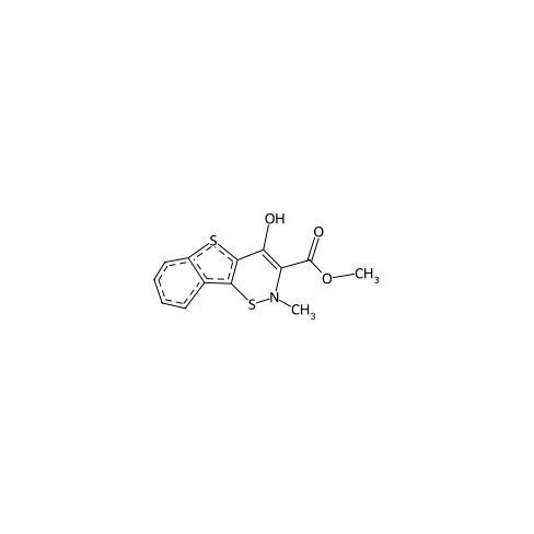 COC(=O)C1=C(O)c2sc3ccccc3c2SN1C